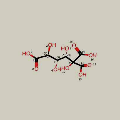 O=C(O)[C@@H](O)[C@@H](O)[C@H](O)C(O)(C(=O)O)C(=O)O